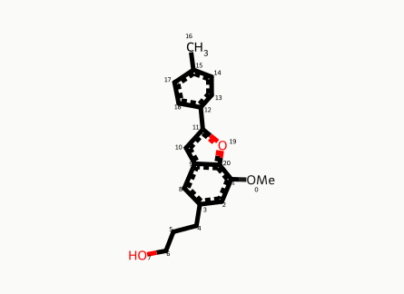 COc1cc(CCCO)cc2cc(-c3ccc(C)cc3)oc12